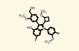 COc1cc(-n2c(C3CCC3OC)c(-c3ccc(CO)c(OC)c3)c3c(O)cc(F)cc32)ccc1F